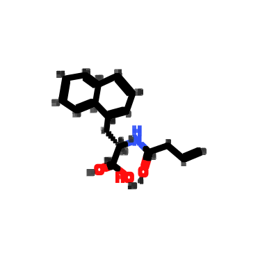 C=CCC(=O)N[C@@H](Cc1cccc2ccccc12)C(=O)O